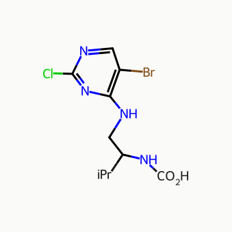 CC(C)C(CNc1nc(Cl)ncc1Br)NC(=O)O